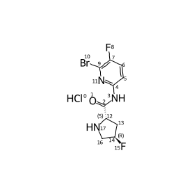 Cl.O=C(Nc1ccc(F)c(Br)n1)[C@@H]1C[C@@H](F)CN1